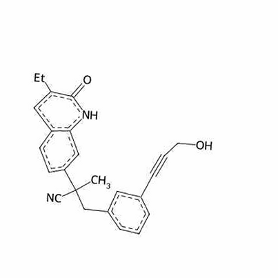 CCc1cc2ccc(C(C)(C#N)Cc3cccc(C#CCO)c3)cc2[nH]c1=O